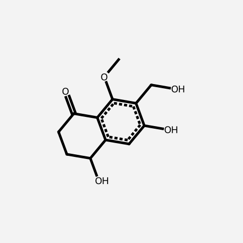 COc1c(CO)c(O)cc2c1C(=O)CCC2O